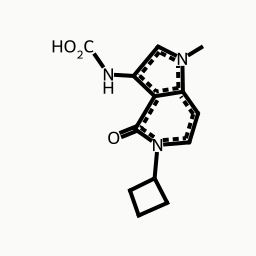 Cn1cc(NC(=O)O)c2c(=O)n(C3CCC3)ccc21